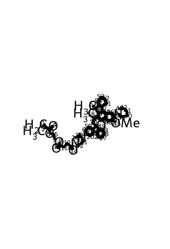 C=C(C)C(=O)OCCOC(=O)CCC(=O)N1CCN(c2ccc(C3(c4ccccc4)C=Cc4c5c(c6cc(N7CCCCC7)c(OC)cc6c4O3)-c3ccccc3C5(C)C)cc2)CC1